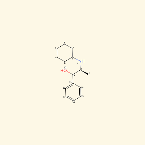 C[C@H](NC1CCCCC1)C(O)c1ccccc1